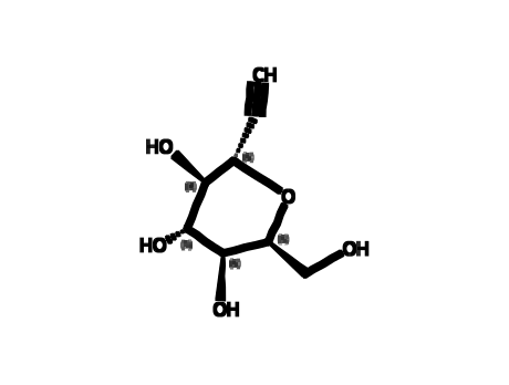 C#C[C@@H]1O[C@@H](CO)[C@@H](O)[C@H](O)[C@H]1O